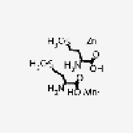 CSCCC(N)C(=O)O.CSCCC(N)C(=O)O.[Mn].[Zn]